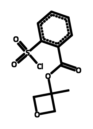 CC1(OC(=O)c2ccccc2S(=O)(=O)Cl)COC1